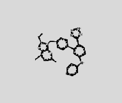 CCc1nc2c(C)cc(C)nc2n1Cc1ccc(-c2cc(Nc3ccccc3)ccc2-c2nn[nH]n2)cc1